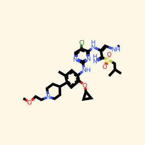 CN/C=C(/Nc1nc(Nc2cc(C)c(C3CCN(CCOC)CC3)cc2OC2CC2)ncc1Cl)C(=N)S(=O)(=O)CC(C)C